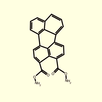 NOC(=O)c1ccc2c3cccc4cccc(c5ccc(C(=O)ON)c1c25)c43